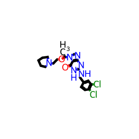 CC(OCCN1CCCCC1)n1cnc2nc(NCc3ccc(Cl)c(Cl)c3)[nH]c(=O)c21